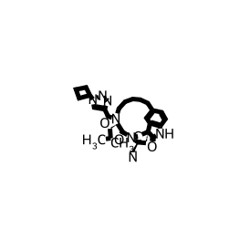 CC(C)C[C@H]1C(=O)N2C[C@]3(C[C@H]2C#N)C(=O)Nc2ccc(cc23)CCCCCN1C(=O)c1cn(C2CCC2)nn1